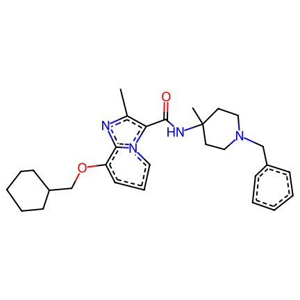 Cc1nc2c(OCC3CCCCC3)cccn2c1C(=O)NC1(C)CCN(Cc2ccccc2)CC1